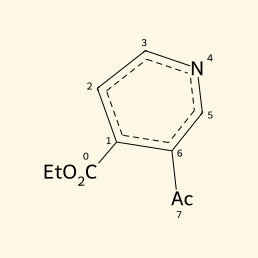 CCOC(=O)c1ccncc1C(C)=O